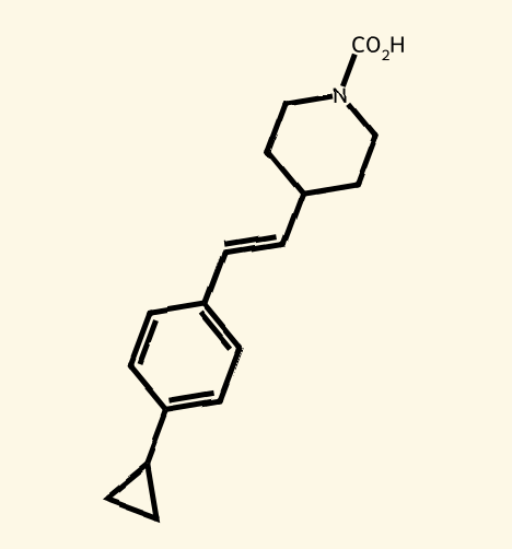 O=C(O)N1CCC(C=Cc2ccc(C3CC3)cc2)CC1